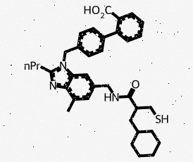 CCCc1nc2c(C)cc(CNC(=O)C(CS)CC3CCCCC3)cc2n1Cc1ccc(-c2ccccc2C(=O)O)cc1